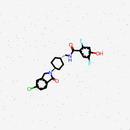 O=C(NC[C@H]1CC[C@H](N2Cc3cc(Cl)ccc3C2=O)CC1)c1cc(F)c(O)cc1F